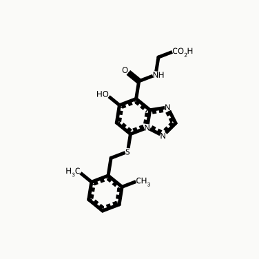 Cc1cccc(C)c1CSc1cc(O)c(C(=O)NCC(=O)O)c2ncnn12